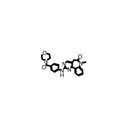 CN1C(=O)Cc2cnc(Nc3ccc(C(=O)N4CCOCC4)cc3)nc2-c2ccccc21